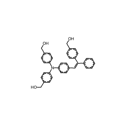 OCc1ccc(/C(=C\c2ccc(N(c3ccc(CO)cc3)c3ccc(CO)cc3)cc2)c2ccccc2)cc1